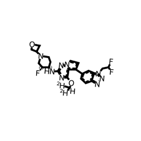 [2H]C([2H])([2H])Oc1nc(N[C@H]2CCN(C3COC3)C[C@@H]2F)nn2ccc(-c3ccc4nnn(CC(F)F)c4c3)c12